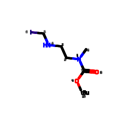 CN(CCNCI)C(=O)OC(C)(C)C